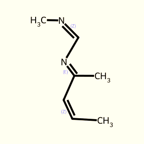 C\C=C/C(C)=N/C=N\C